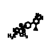 Cc1c(S(=O)(=O)N2CCC(c3cn4ncnc4cc3C3CC3)CC2)cnn1C